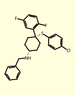 Fc1ccc(F)c([C@]2(Sc3ccc(Cl)cc3)CC[C@@H](NCc3ccccc3)CC2)c1